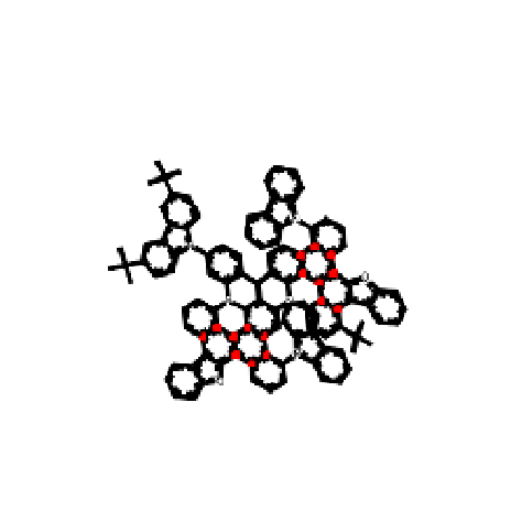 CC(C)(C)c1ccc(N2c3cc(-c4c(-c5cccc6c5oc5ccccc56)cccc4-n4c5ccccc5c5ccccc54)ccc3C3c4ccc(-n5c6ccc(C(C)(C)C)cc6c6cc(C(C)(C)C)ccc65)cc4N(c4ccccc4-c4ccccc4)c4cc(-c5c(-c6cccc7c6oc6ccccc67)cccc5-n5c6ccccc6c6ccccc65)cc2c43)c(-c2ccccc2)c1